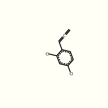 C=C=Cc1ccc(Cl)cc1Cl